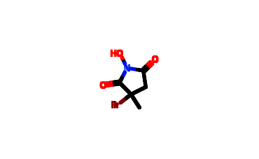 CC1(Br)CC(=O)N(O)C1=O